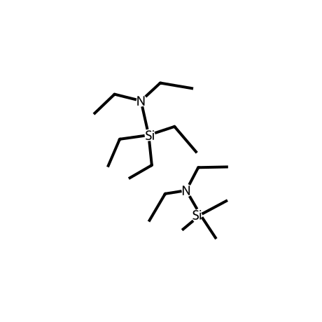 CCN(CC)[Si](C)(C)C.CCN(CC)[Si](CC)(CC)CC